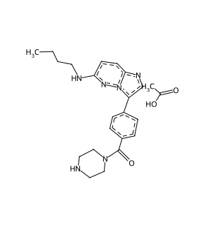 CC(=O)O.CCCCNc1ccc2ncc(-c3ccc(C(=O)N4CCNCC4)cc3)n2n1